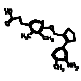 Cc1ccc(C2=C(COc3ccc(CCC(=O)O)c(C)c3C)CCC2)cc1N